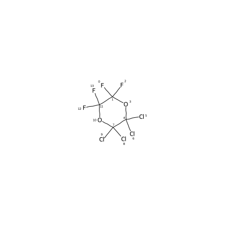 FC1(F)OC(Cl)(Cl)C(Cl)(Cl)OC1(F)F